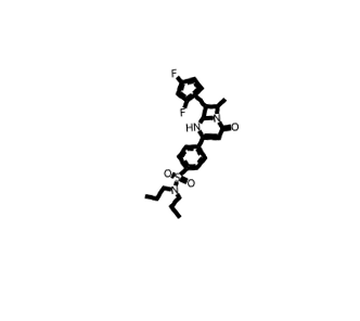 CCCN(CCC)S(=O)(=O)c1ccc(C2=CC(=O)N3C(C)C(c4ccc(F)cc4F)C3N2)cc1